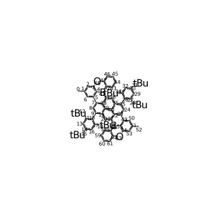 Cc1cc2c3c(c1)-c1cc(-c4c(C(C)(C)C)cc(C(C)(C)C)cc4C(C)(C)C)c4cc5c6c(cc(-c7c(C(C)(C)C)cc(C(C)(C)C)cc7C(C)(C)C)c7cc(c1c4c76)B3c1ccccc1O2)-c1cc(C)cc2c1B5c1ccccc1O2